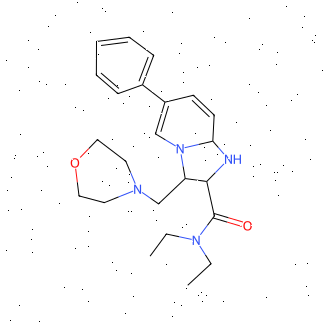 CCN(CC)C(=O)C1NC2C=CC(c3ccccc3)=CN2C1CN1CCOCC1